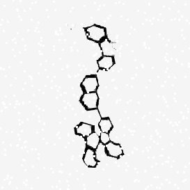 N#Cc1ccc2sc3ccc(-c4ccc5ccc(-c6ccc7c(c6)C6(c8ccccc8-c8ccccc86)c6ccccc6-7)cc5c4)cc3c2c1